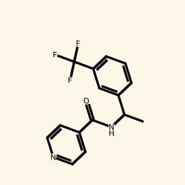 CC(NC(=O)c1ccncc1)c1cccc(C(F)(F)F)c1